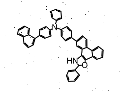 c1ccc(C2Nc3c(c4ccccc4c4ccc(-c5ccc(N(c6ccccc6)c6ccc(-c7cccc8ccccc78)cc6)cc5)cc34)O2)cc1